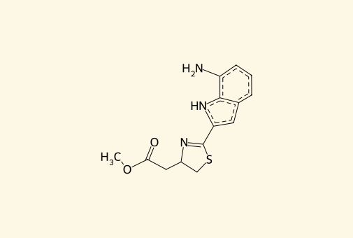 COC(=O)CC1CSC(c2cc3cccc(N)c3[nH]2)=N1